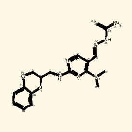 CN(C)c1nc(NCC2COc3ccccc3O2)ncc1/C=N/NC(N)=S